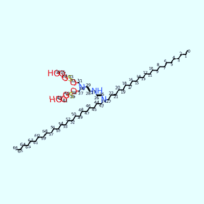 CCCCCCCCCCCCCCCCCCCCCCCCN(C=CNC=CN(COSOOO)COSOOO)CCCCCCCCCCCCCCCCCCCCCCCC